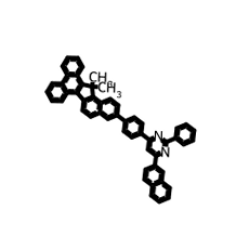 CC1(C)c2c(ccc3cc(-c4ccc(-c5cc(-c6ccc7ccccc7c6)nc(-c6ccccc6)n5)cc4)ccc23)-c2c1c1ccccc1c1ccccc21